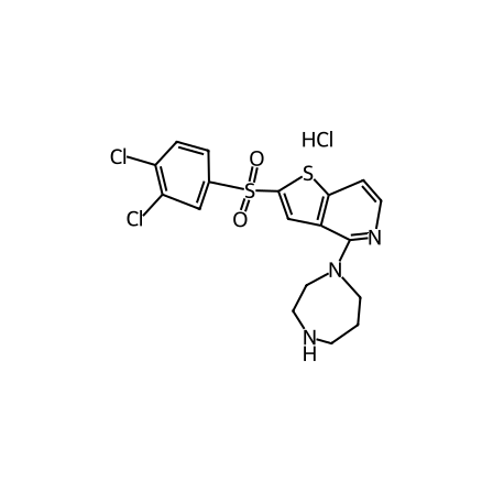 Cl.O=S(=O)(c1ccc(Cl)c(Cl)c1)c1cc2c(N3CCCNCC3)nccc2s1